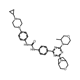 CC1COCCN1c1nc(-c2ccc(NC(=O)Nc3ccc(N4CCN(C5CC5)CC4)cc3)cc2)nc(N2C3CCC2COC3)n1